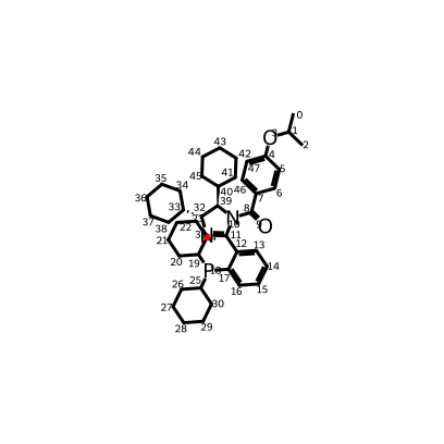 CC(C)Oc1ccc(C(=O)N2C(c3ccccc3P(C3CCCCC3)C3CCCCC3)=N[C@H](C3CCCCC3)[C@H]2C2CCCCC2)cc1